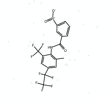 Cc1cc(C(F)(F)C(F)(F)F)cc(C(F)(F)F)c1NC(=O)c1cccc([N+](=O)[O-])c1